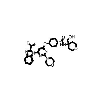 O=C(NC1(CO)CCOCC1)[C@H]1CC[C@H](Oc2cc(-n3c(C(F)F)nc4ccccc43)nc(N3CCOCC3)n2)CC1